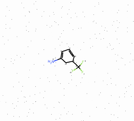 NC1=CC=CC(C(F)(F)F)C1